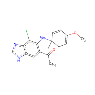 COC(=O)c1cc2[nH]cnc2c(F)c1NC1(C)C=CC(OC(F)(F)F)=CC1